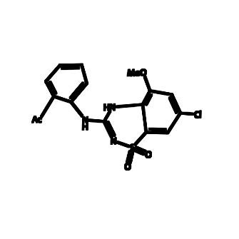 COc1cc(Cl)cc2c1NC(Nc1ccccc1C(C)=O)=NS2(=O)=O